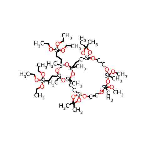 CCO[Si](CC[Si]1(C)O[Si](C)(CC[Si](OCC)(OCC)OCC)O[Si]2(C)CC[Si](OCC)(OCC)OCCO[Si](C)(OC)O[Si](C)(OC)OCCO[Si](OCC)(OCC)CC[Si](C)(O1)O2)(OCC)OCC